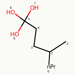 CCCC(C)CCC(O)(O)O